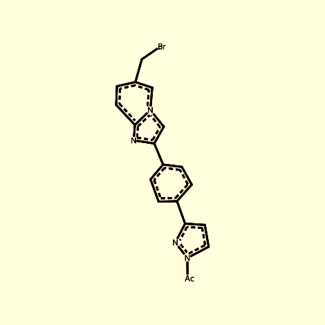 CC(=O)n1ccc(-c2ccc(-c3cn4cc(CBr)ccc4n3)cc2)n1